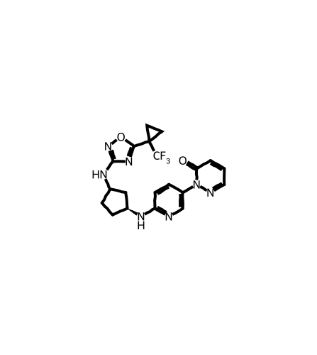 O=c1cccnn1-c1ccc(N[C@H]2CCC(Nc3noc(C4(C(F)(F)F)CC4)n3)C2)nc1